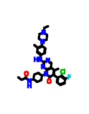 CCC(=O)N[C@H]1CC[C@@H](n2c(=O)c(-c3cccc(F)c3Cl)c(C)c3cnc(Nc4ccc(N5CCN(CC)CC5)c(C)c4)nc32)CC1